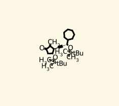 C=C1C(=O)C[C@@H](O[Si](C)(C)C(C)(C)C)[C@@H]1C#C[C@@H](O[Si](C)(C)C(C)(C)C)C1CCCCCC1